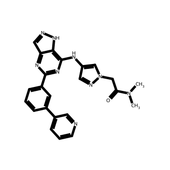 CN(C)C(=O)Cn1cc(Nc2nc(-c3cccc(-c4cccnc4)c3)nc3cn[nH]c23)cn1